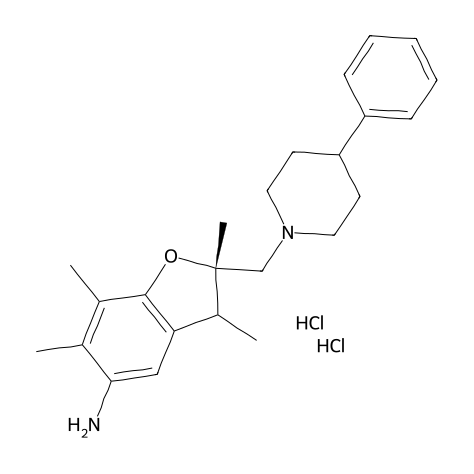 Cc1c(N)cc2c(c1C)O[C@](C)(CN1CCC(c3ccccc3)CC1)C2C.Cl.Cl